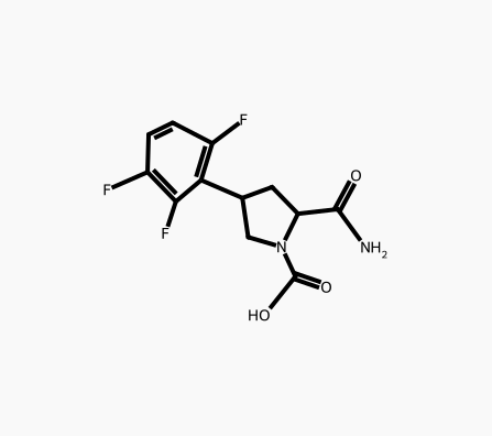 NC(=O)C1CC(c2c(F)ccc(F)c2F)CN1C(=O)O